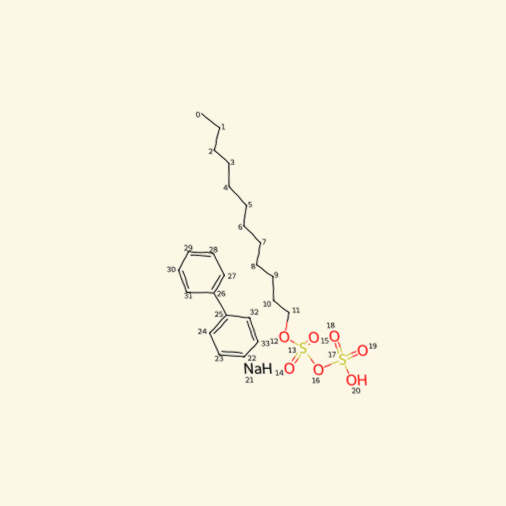 CCCCCCCCCCCCOS(=O)(=O)OS(=O)(=O)O.[NaH].c1ccc(-c2ccccc2)cc1